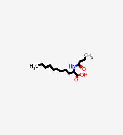 CCCCCCCCCC(NC(=O)CCC)C(=O)O